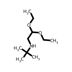 CCOC(CNC(C)(C)C)OCC